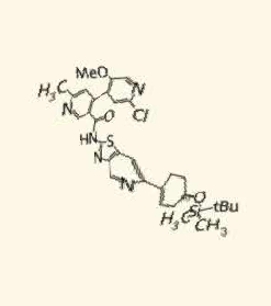 COc1cnc(Cl)cc1-c1cc(C)ncc1C(=O)Nc1nc2cnc(C3=CC[C@H](O[Si](C)(C)C(C)(C)C)CC3)cc2s1